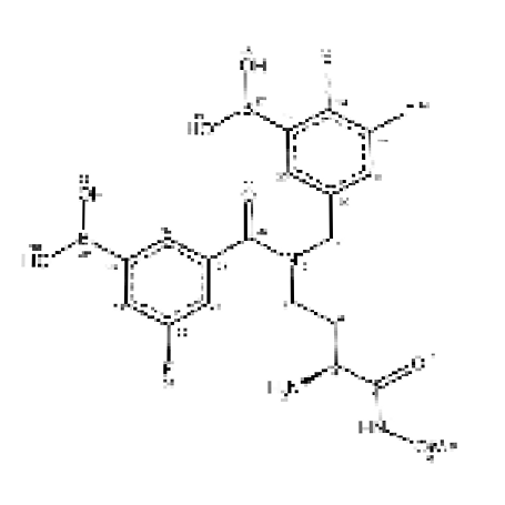 CONC(=O)[C@@H](N)CCN(Cc1cc(F)c(F)c(B(O)O)c1)C(=O)c1cc(F)cc(B(O)O)c1